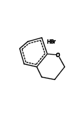 Br.c1ccc2c(c1)CCCO2